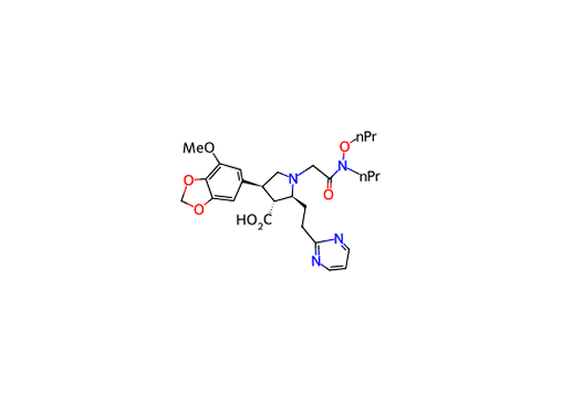 CCCON(CCC)C(=O)CN1C[C@H](c2cc(OC)c3c(c2)OCO3)[C@@H](C(=O)O)[C@@H]1CCc1ncccn1